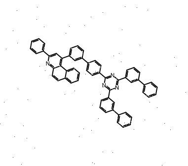 c1ccc(-c2cccc(-c3nc(-c4ccc(-c5cccc(-c6cc(-c7ccccc7)nc7ccc8ccccc8c67)c5)cc4)nc(-c4cccc(-c5ccccc5)c4)n3)c2)cc1